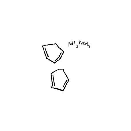 C1=CCC=C1.C1=CCC=C1.N.[AsH3]